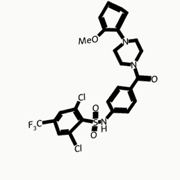 COc1ccccc1N1CCN(C(=O)c2ccc(NS(=O)(=O)c3c(Cl)cc(C(F)(F)F)cc3Cl)cc2)CC1